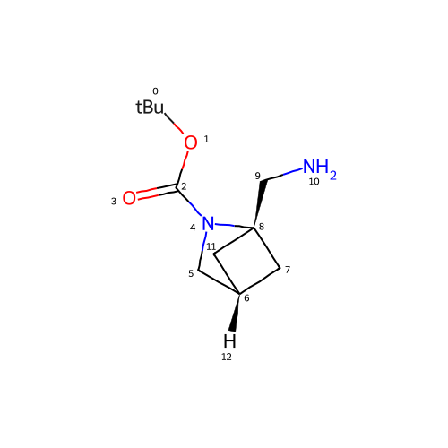 CC(C)(C)OC(=O)N1C[C@H]2C[C@]1(CN)C2